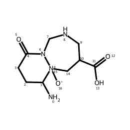 NC1CCC(=O)N2CNCC(C(=O)O)C[N+]12[O-]